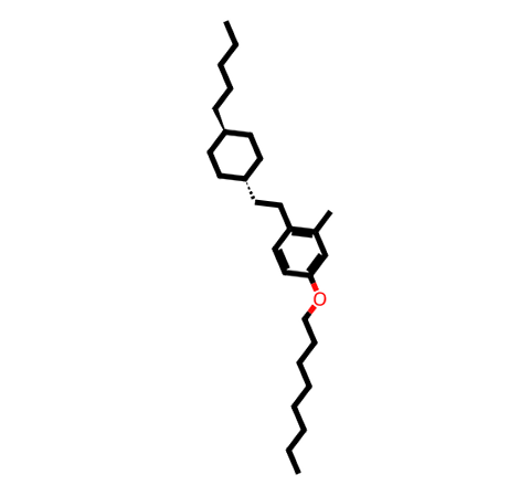 CCCCCCCCOc1ccc(CC[C@H]2CC[C@H](CCCCC)CC2)c(C)c1